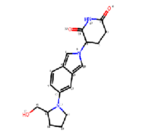 O=C1CCC(n2cc3ccc(N4CCCC4CO)cc3c2)C(=O)N1